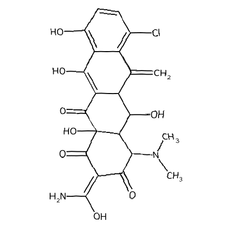 C=C1c2c(Cl)ccc(O)c2C(O)=C2C(=O)C3(O)C(=O)C(=C(N)O)C(=O)C(N(C)C)C3C(O)C12